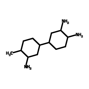 CC1CCC(C2CCC(N)C(N)C2)CC1N